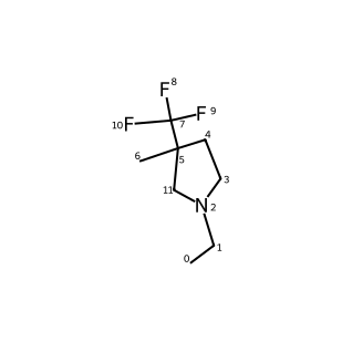 CCN1CCC(C)(C(F)(F)F)C1